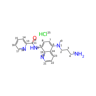 CN(CCCN)c1ccc(NC(=O)c2ccccn2)c2ncccc12.Cl